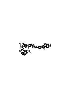 CCc1cc(Nc2ncc(Br)c(Nc3cccc4c3N(S(C)(=O)=O)CC4)n2)c(OC)cc1N1CCC(NCCNCCC2CCN(c3cc(F)c(C4CCC(=O)NC4=O)c(F)c3)CC2)CC1